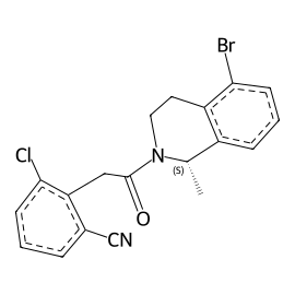 C[C@H]1c2cccc(Br)c2CCN1C(=O)Cc1c(Cl)cccc1C#N